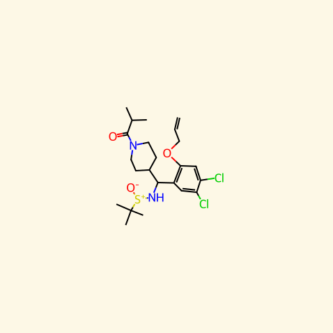 C=CCOc1cc(Cl)c(Cl)cc1C(N[S+]([O-])C(C)(C)C)C1CCN(C(=O)C(C)C)CC1